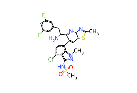 CC1=NC2N=C(C(N)Cc3cc(F)cc(F)c3)C(c3ccc(Cl)c4c(NS(C)(=O)=O)nn(C)c34)=CC2S1